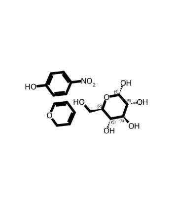 C1=CCOC=C1.O=[N+]([O-])c1ccc(O)cc1.OC[C@H]1O[C@H](O)[C@H](O)[C@@H](O)[C@@H]1O